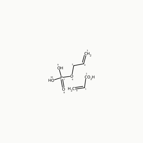 C=CC(=O)O.C=CCOP(=O)(O)O